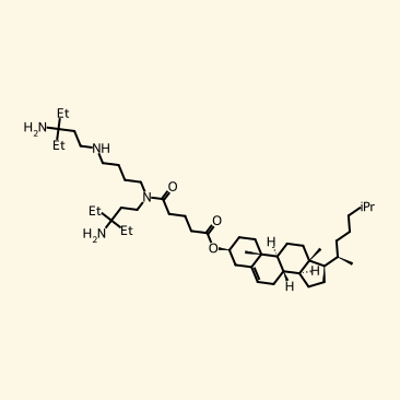 CCC(N)(CC)CCNCCCCN(CCC(N)(CC)CC)C(=O)CCCC(=O)O[C@H]1CC[C@@]2(C)C(=CC[C@H]3[C@@H]4CC[C@H]([C@H](C)CCCC(C)C)[C@@]4(C)CC[C@@H]32)C1